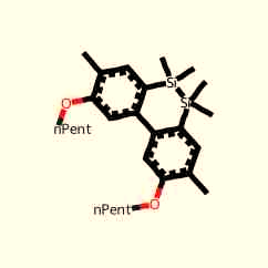 CCCCCOc1cc2c(cc1C)[Si](C)(C)[Si](C)(C)c1cc(C)c(OCCCCC)cc1-2